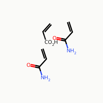 C=CC(=O)O.C=CC(N)=O.C=CC(N)=O